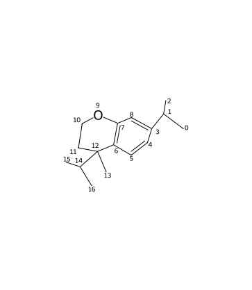 CC(C)c1ccc2c(c1)OCCC2(C)C(C)C